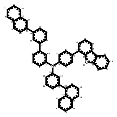 c1cc(-c2cccc(N(c3ccc(-c4cccc5c4oc4ccccc45)cc3)c3cccc(-c4cccc5ccccc45)c3)c2)cc(-c2ccc3ccccc3c2)c1